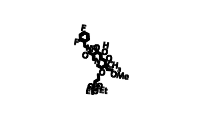 CCOP(=O)(CCCOC1Cn2cc(C(=O)NCc3ccc(F)cc3F)c(=O)c(O)c2C(=O)C1(C)CCOC)OCC